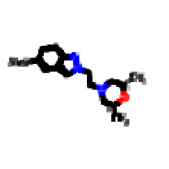 CSc1ccc2nn(CCN3C[C@H](C)O[C@@H](C)C3)cc2c1